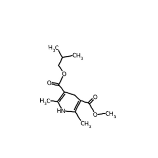 COC(=O)C1=C(C)NC(C)=C(C(=O)OCC(C)C)C1